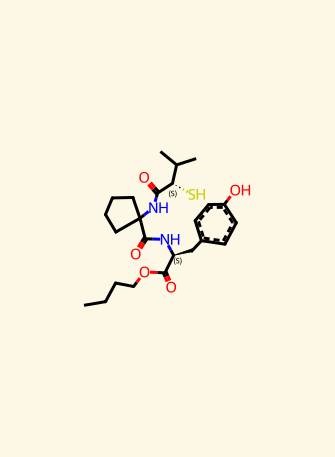 CCCCOC(=O)[C@H](Cc1ccc(O)cc1)NC(=O)C1(NC(=O)[C@@H](S)C(C)C)CCCC1